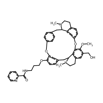 COc1c(CO)cc2c3c1Oc1ccc4c(c1)C(Cc1ccc(cc1)Oc1cc(ccc1OCCCNC(=O)c1ccccn1)CC3N(C)CC2)N(C)CC4